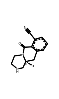 N#Cc1cccc2c1C(=O)N1CCNC[C@H]1C2